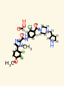 COc1ccc(-c2cnc(C(=O)Nc3ccc(C(=O)N4CCN(CC5CCNC5)CC4)c(Cl)c3)n2C)c(F)c1F.O=CO